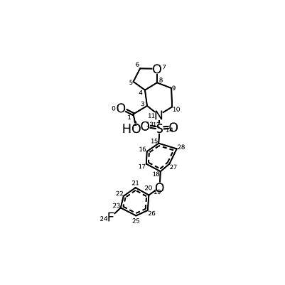 O=C(O)C1C2CCOC2CCN1S(=O)(=O)c1ccc(Oc2ccc(F)cc2)cc1